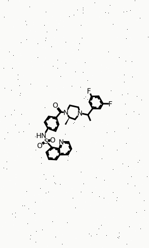 CC(c1cc(F)cc(F)c1)N1CCN(C(=O)c2ccc(NS(=O)(=O)c3cccc4cccnc34)cc2)[C@H](C)C1